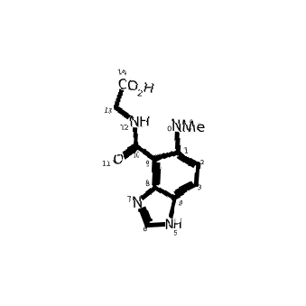 CNc1ccc2[nH]cnc2c1C(=O)NCC(=O)O